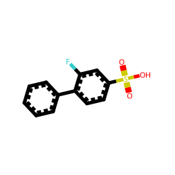 O=S(=O)(O)c1ccc(-c2ccccc2)c(F)c1